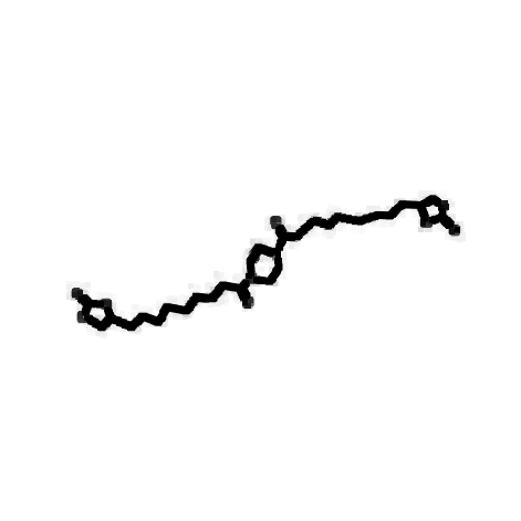 O=C1OCC(CCCCCCCCC(=O)N2CCN(C(=O)CCCCCCCCC3COC(=O)O3)CC2)O1